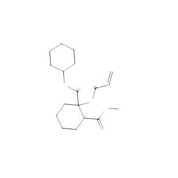 C=CC(=O)OC1(C(=O)OC2CCCCC2)CCCCC1C(=O)OCCCC